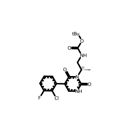 C[C@@H](CNC(=O)OC(C)(C)C)n1c(=O)[nH]cc(-c2cccc(F)c2Cl)c1=O